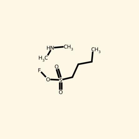 CCCCS(=O)(=O)OF.CNC